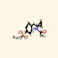 COS(=O)(=O)c1ccc(CC2(NC(=O)C(C)(C)C)CC2)cc1